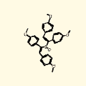 COc1ccc(C=C(c2ccc(OC)cc2)[S+]([O-])C(=Cc2ccc(OC)cc2)c2ccc(OC)cc2)cc1